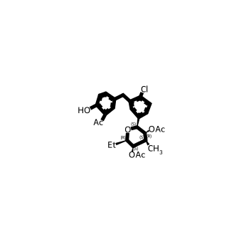 CC[C@H]1O[C@@H](c2ccc(Cl)c(Cc3ccc(O)c(C(C)=O)c3)c2)[C@H](OC(C)=O)[C@@H](C)[C@@H]1OC(C)=O